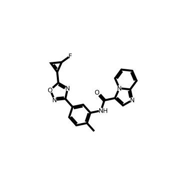 Cc1ccc(-c2noc(C3=CC3F)n2)cc1NC(=O)c1cnc2ccccn12